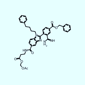 CC(=O)OCOC(=O)CCNC(=O)c1ccc2c(c1)nc(-c1ccc(C(=O)OCc3ccccc3)cc1C(=N)N)n2CCCCc1ccccc1